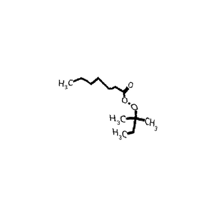 CCCCCCC(=O)OOC(C)(C)CC